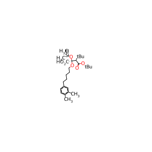 Cc1ccc(CCCCCO[C@](O[SiH](C)C)(C(=O)O)[C@H](C(=O)OC(C)(C)C)C(C)(C)C)cc1C